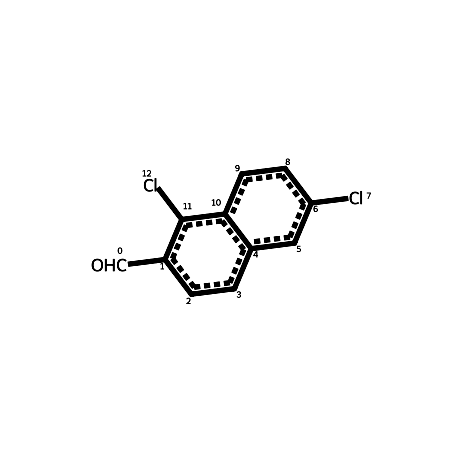 O=Cc1ccc2cc(Cl)ccc2c1Cl